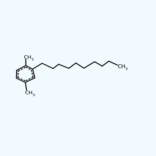 CCCCCCCCCCc1cc(C)ccc1C